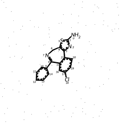 Nc1nc2c(s1)CN=C(c1ccccc1)c1cc(Cl)ccc1-2